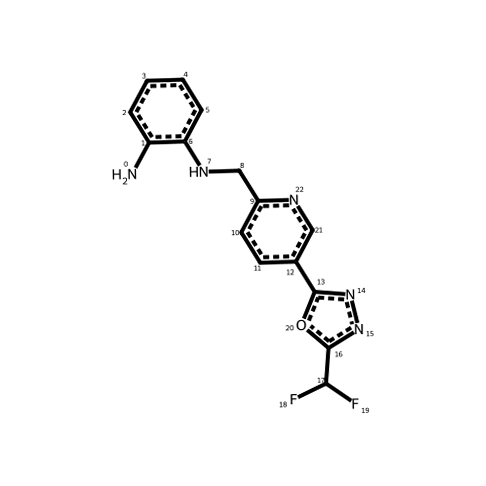 Nc1ccccc1NCc1ccc(-c2nnc(C(F)F)o2)cn1